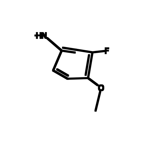 COc1ccc([NH])cc1F